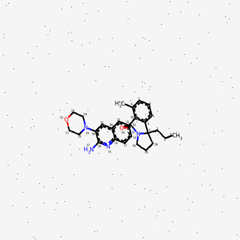 CCCC1(c2cccc(C)c2-c2ccc3nc(N)c(N4CCOCC4)cc3c2)CCCN1C=O